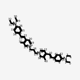 CCN(CC)c1ccc(/C=C/c2cc[n+](CCC[n+]3ccc(/C=C/c4ccc(N(CC)CC)cc4)c(C)c3)cc2C)cc1